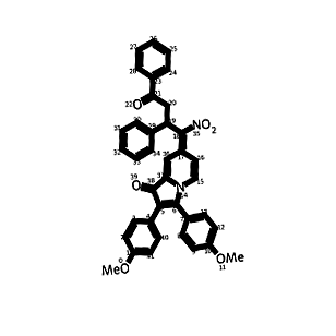 COc1ccc(C2=C(c3ccc(OC)cc3)N3C=CC(=C(C(CC(=O)c4ccccc4)c4ccccc4)[N+](=O)[O-])C=C3C2=O)cc1